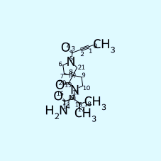 CC#CC(=O)N1CC[C@]2(CCN([C@H](C(N)=O)C(C)C)C2=O)C1